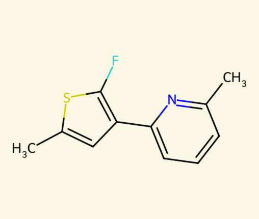 Cc1cccc(-c2cc(C)sc2F)n1